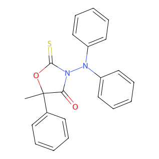 CC1(c2ccccc2)OC(=S)N(N(c2ccccc2)c2ccccc2)C1=O